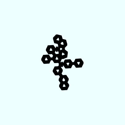 c1ccc(-c2ccc(N(c3cccc(-c4ccc5ccccc5c4)c3)c3ccc(-c4ccccc4-n4c5ccccc5c5ccc6ccccc6c54)c(-c4ccccc4)c3)cc2)cc1